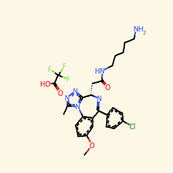 COc1ccc2c(c1)C(c1ccc(Cl)cc1)=N[C@@H](CC(=O)NCCCCCN)c1nnc(C)n1-2.O=C(O)C(F)(F)F